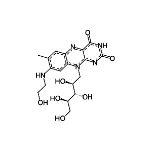 Cc1cc2nc3c(=O)[nH]c(=O)nc-3n(C[C@H](O)[C@H](O)[C@H](O)CO)c2cc1NCCO